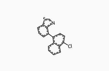 Clc1ccc(-c2cccc3scnc23)c2ccccc12